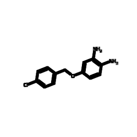 Nc1ccc(OCc2ccc(Cl)cc2)cc1N